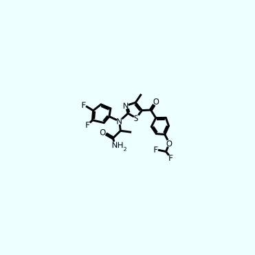 Cc1nc(N(c2ccc(F)c(F)c2)C(C)C(N)=O)sc1C(=O)c1ccc(OC(F)F)cc1